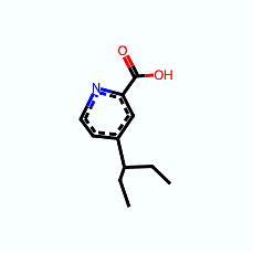 CCC(CC)c1ccnc(C(=O)O)c1